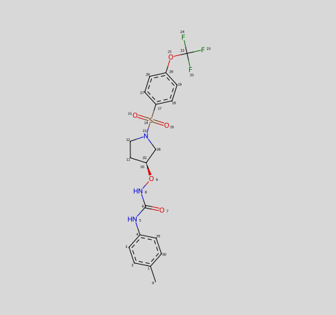 Cc1ccc(NC(=O)NO[C@H]2CCN(S(=O)(=O)c3ccc(OC(F)(F)F)cc3)C2)cc1